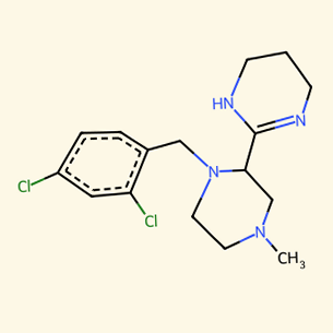 CN1CCN(Cc2ccc(Cl)cc2Cl)C(C2=NCCCN2)C1